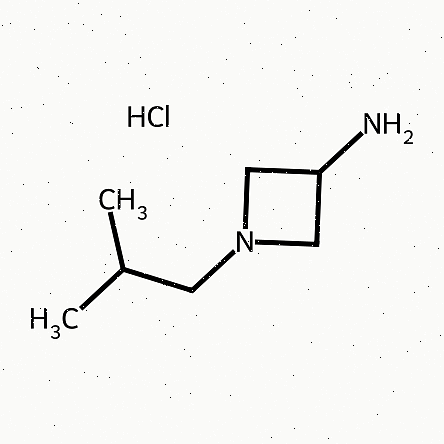 CC(C)CN1CC(N)C1.Cl